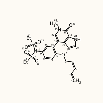 C=C/C=C\COc1ccc(N(S(=O)(=O)CC)S(=O)(=O)CC)cc1-c1cn(C)c(=O)c2[nH]ccc12